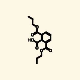 CCCOC(=O)c1cccc(C(=O)OCCC)c1C(=O)O